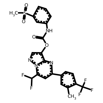 Cc1cc(-c2cc(C(F)F)n3ncc(OC(=O)Nc4cccc(S(C)(=O)=O)c4)c3n2)ccc1C(F)(F)F